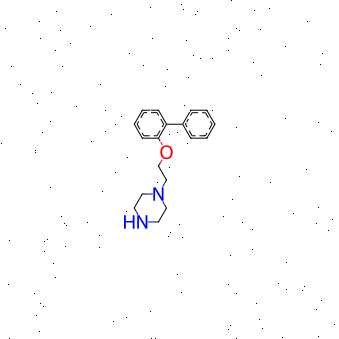 c1ccc(-c2ccccc2OCCN2CCNCC2)cc1